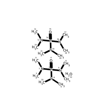 CN(C)P(=O)(N(C)C)N(C)C.CN(C)P(=O)(N(C)C)N(C)C.O